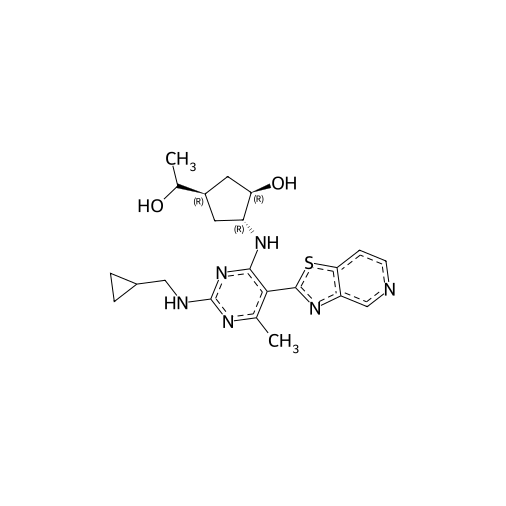 Cc1nc(NCC2CC2)nc(N[C@@H]2C[C@@H](C(C)O)C[C@H]2O)c1-c1nc2cnccc2s1